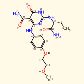 CC[C@@H](Nc1nc(Nc2ccc(OCCOC)cc2)c(C(N)=O)c(=O)[nH]1)C(N)=O